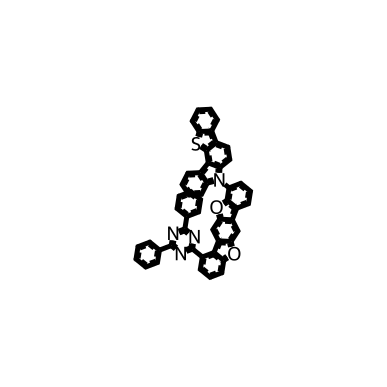 c1ccc(-c2nc(-c3ccccc3)nc(-c3cccc4oc5cc6c(cc5c34)oc3c(-n4c5ccccc5c5c7sc8ccccc8c7ccc54)cccc36)n2)cc1